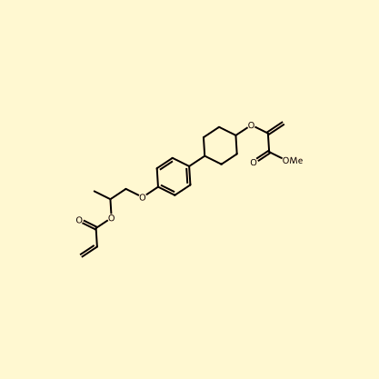 C=CC(=O)OC(C)COc1ccc(C2CCC(OC(=C)C(=O)OC)CC2)cc1